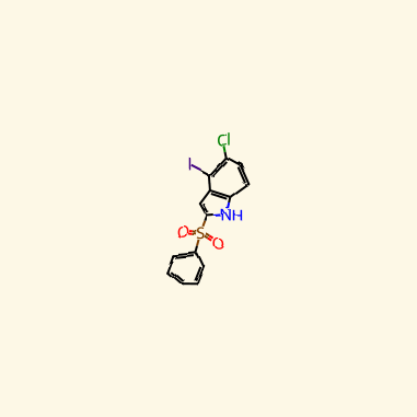 O=S(=O)(c1ccccc1)c1cc2c(I)c(Cl)ccc2[nH]1